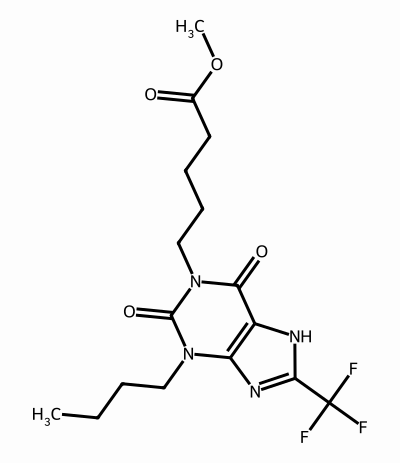 CCCCn1c(=O)n(CCCCC(=O)OC)c(=O)c2[nH]c(C(F)(F)F)nc21